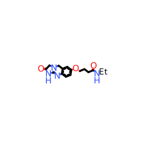 CCNC(=O)CCCOc1ccc2c(c1)CN1CC(=O)NC1=N2